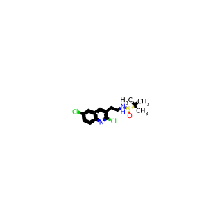 CC(C)(C)[S@@+]([O-])NCCc1cc2cc(Cl)ccc2nc1Cl